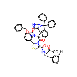 O=C(N[C@@H](Cc1cncn1C(c1ccccc1)(c1ccccc1)c1ccccc1)C(=O)N1C(c2ccccc2)SC[C@H]1C(=O)N[C@@H](Cc1ccccc1)C(=O)C(=O)O)OCc1ccccc1